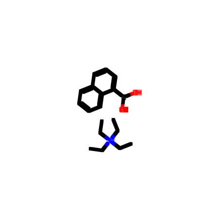 CC[N+](CC)(CC)CC.OB(O)c1cccc2ccccc12